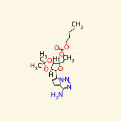 C=C[C@]1(COC(=O)OCCCCC)O[C@@H](c2ccc3c(N)ncnn23)[C@@H]2OC(C)(C)O[C@@H]21